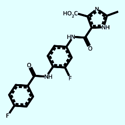 Cc1nc(C(=O)O)c(C(=O)Nc2ccc(NC(=O)c3ccc(F)cc3)c(F)c2)[nH]1